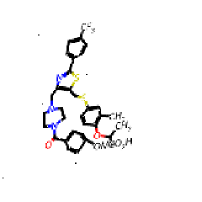 COc1ccc(C(=O)N2CCN(Cc3nc(-c4ccc(C(F)(F)F)cc4)sc3CSc3ccc(OC(C)C(=O)O)c(C)c3)CC2)cc1